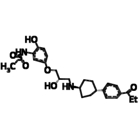 CCC(=O)c1ccc([C@H]2CC[C@H](NC[C@H](O)COc3ccc(O)c(NS(C)(=O)=O)c3)CC2)cc1